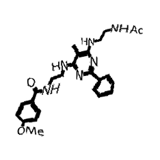 COc1ccc(C(=O)NCCNc2nc(-c3ccccc3)nc(NCCNC(C)=O)c2C)cc1